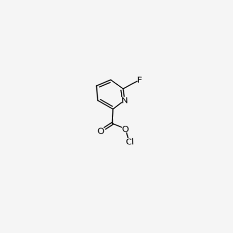 O=C(OCl)c1cccc(F)n1